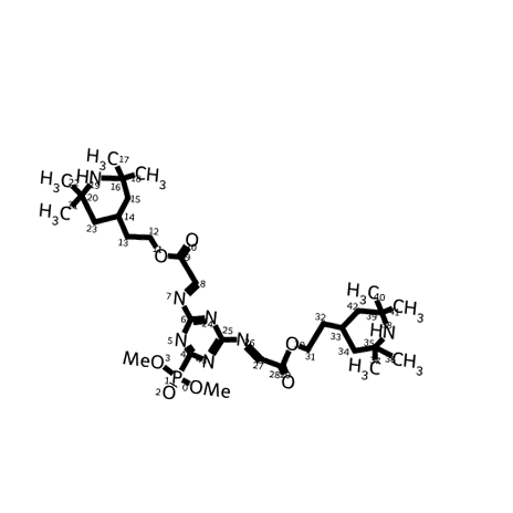 COP(=O)(OC)c1nc(N=CC(=O)OCCC2CC(C)(C)NC(C)(C)C2)nc(N=CC(=O)OCCC2CC(C)(C)NC(C)(C)C2)n1